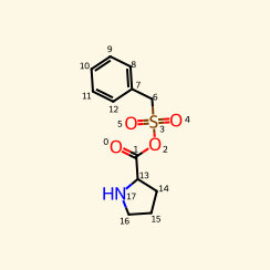 O=C(OS(=O)(=O)Cc1ccccc1)C1CCCN1